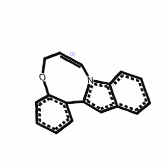 C1=C\n2c(cc3ccccc32)-c2ccccc2OC/1